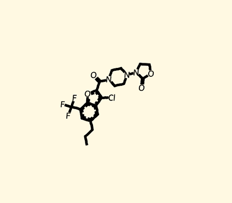 CCCc1cc(C(F)(F)F)c2oc(C(=O)N3CCN(N4CCOC4=O)CC3)c(Cl)c2c1